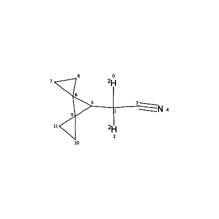 [2H]C([2H])(C#N)C1C2(CC2)C12CC2